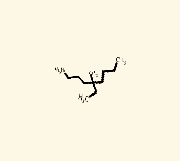 CCCCC(C)(CC)CCCN